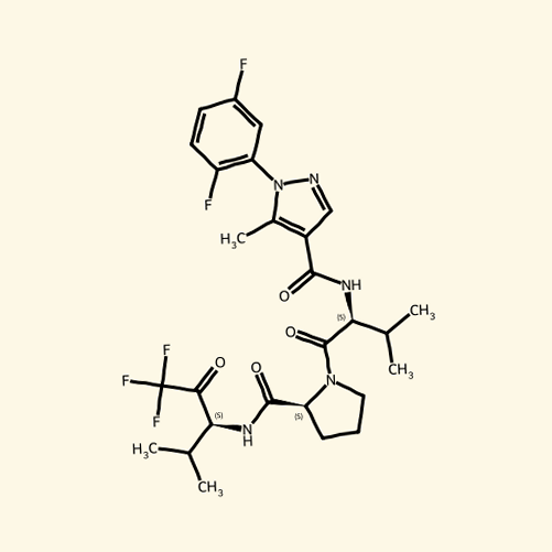 Cc1c(C(=O)N[C@H](C(=O)N2CCC[C@H]2C(=O)N[C@H](C(=O)C(F)(F)F)C(C)C)C(C)C)cnn1-c1cc(F)ccc1F